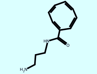 NCCCNC(=O)C1=C/C=C\C=C/C=C\1